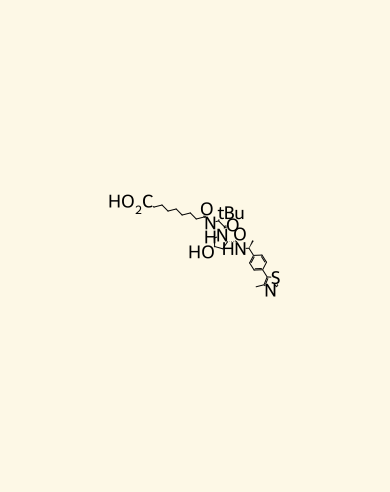 Cc1ncsc1-c1ccc([C@H](C)NC(=O)[C@@H]2C[C@@H](O)CN2C(=O)[C@@H](NC(=O)CCCCCCCC(=O)O)C(C)(C)C)cc1